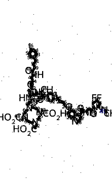 C/N=C/[C@H]1CC(F)(F)CN1C(=O)CNC(=O)c1ccnc2ccc(OCCCCN3CCN(C(=O)[C@H](C)NC(=O)[C@H](CCOCCNC(=O)CCCc4ccc(I)cc4)NC(=O)CN4CCN(CC(=O)O)CCN(CC(=O)O)CCN(CC(=O)O)CC4)CC3)cc12